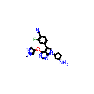 Cn1cc(Oc2ncnc3c2c(-c2ccc(C#N)c(F)c2)cn3[C@@H]2CC[C@@H](N)C2)cn1